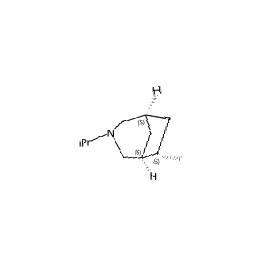 CC(C)N1C[C@@H]2C[C@H](C1)[C@@H](C)C2